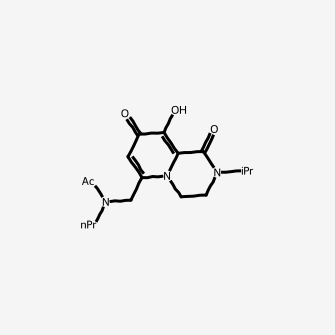 CCCN(Cc1cc(=O)c(O)c2n1CCN(C(C)C)C2=O)C(C)=O